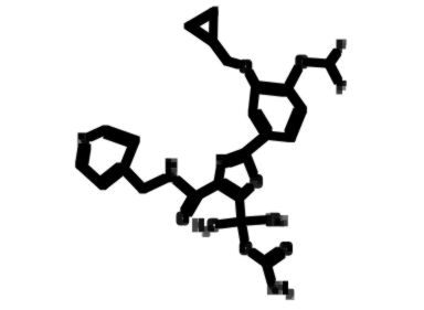 CC(C)(C)C(C)(OC(N)=O)c1oc(-c2ccc(OC(F)F)c(OCC3CC3)c2)nc1C(=O)NCc1ccncc1